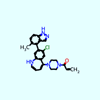 C=CC(=O)N1CCN(C2=CC=CNc3cc(-c4c(C)ccc5[nH]ncc45)c(Cl)cc32)CC1